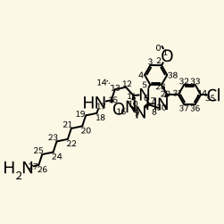 COc1ccc(-n2c(C)nnc2C[C@@H](C)C(=O)NCCCCCCCCCN)c(C(=N)c2ccc(Cl)cc2)c1